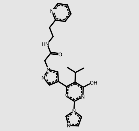 CC(C)c1c(O)nc(-n2ccnc2)nc1-c1cnn(CC(=O)NCCc2ccccn2)c1